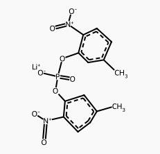 Cc1ccc([N+](=O)[O-])c(OP(=O)([O-])Oc2cc(C)ccc2[N+](=O)[O-])c1.[Li+]